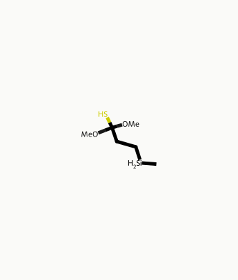 COC(S)(CC[SiH2]C)OC